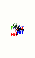 C=C(/C=C\C=C(\Cl)CF)[C@H]1[C@H](C(=O)N[C@H]2C[C@@](C)(O)C2)N[C@@H](CC2CCCC2)[C@@]12C(=O)Nc1cc(Cl)ccc12